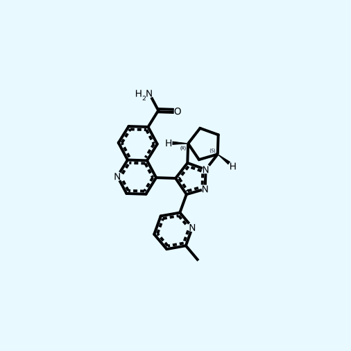 Cc1cccc(-c2nn3c(c2-c2ccnc4ccc(C(N)=O)cc24)[C@@H]2CC[C@H]3C2)n1